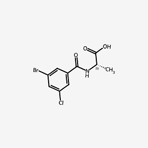 C[C@H](NC(=O)c1cc(Cl)cc(Br)c1)C(=O)O